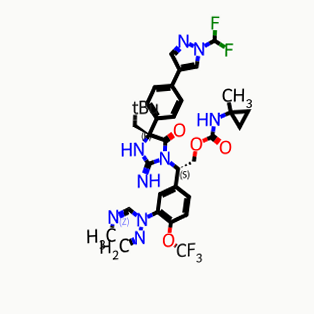 C=NN(/C=N\C)c1cc([C@@H](COC(=O)NC2(C)CC2)N2C(=N)N[C@](CC(C)(C)C)(c3ccc(-c4cnn(C(F)F)c4)cc3)C2=O)ccc1OC(F)(F)F